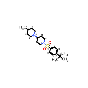 CC1CCN(C2CCN(S(=O)(=O)c3ccc(C(C)(C)C)cc3)CC2)CC1